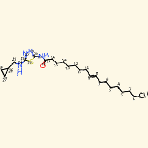 CCCCCCCC/C=C/CCCCCCCC(=O)Nc1nnc(NCC2CC2)s1